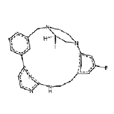 Fc1cc2cc(c1)N1CCN(Cc3cccc(c3)-c3ccnc(n3)NCC2)[C@H](I)C1